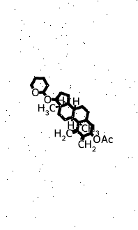 C=C1C(=C)[C@@]2(C)C(CC[C@@H]3[C@H]2CC[C@]2(C)C(OC4CCCCO4)CC[C@@H]32)CC1OC(C)=O